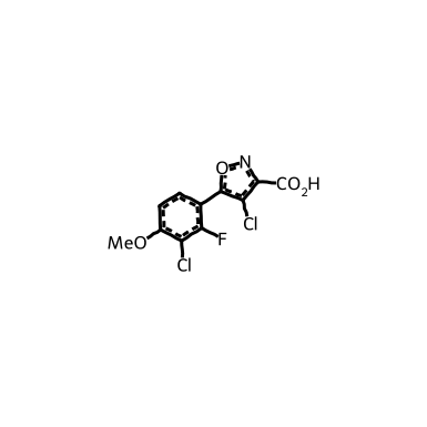 COc1ccc(-c2onc(C(=O)O)c2Cl)c(F)c1Cl